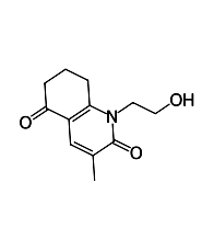 Cc1cc2c(n(CCO)c1=O)CCCC2=O